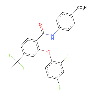 CC(F)(F)c1ccc(C(=O)Nc2ccc(C(=O)O)cc2)c(Oc2ccc(F)cc2F)c1